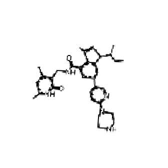 CC[C@H](C)C1C=C(C)c2c(C(=O)NCc3c(C)cc(C)[nH]c3=O)cc(-c3ccc(N4CCNCC4)nc3)cc21